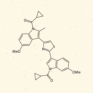 COc1ccc2c(c1)c(-c1csc(-c3cn(C(=O)C4CC4)c4cc(OC)ccc34)n1)c(C)n2C(=O)C1CC1